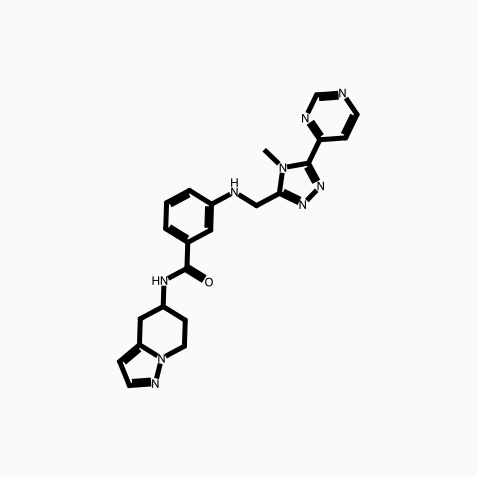 Cn1c(CNc2cccc(C(=O)NC3CCn4nccc4C3)c2)nnc1-c1ccncn1